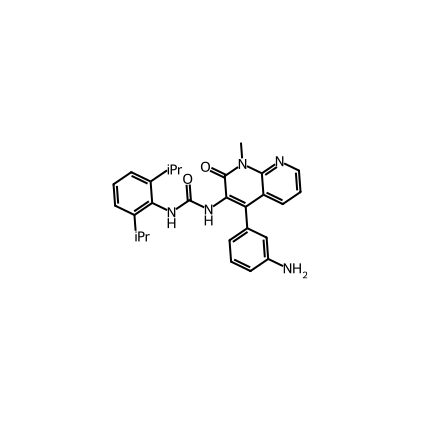 CC(C)c1cccc(C(C)C)c1NC(=O)Nc1c(-c2cccc(N)c2)c2cccnc2n(C)c1=O